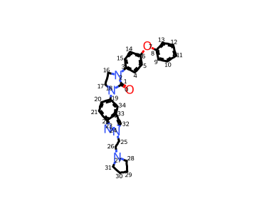 O=C1N(c2ccc(Oc3ccccc3)cc2)CCN1c1ccc2nn(CCN3CCCC3)cc2c1